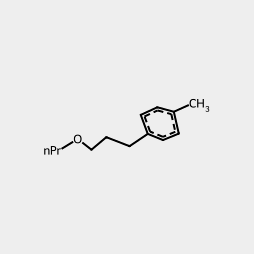 CCCOCCCc1ccc(C)cc1